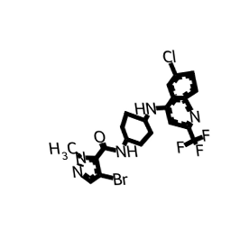 Cn1ncc(Br)c1C(=O)NC1CCC(Nc2cc(C(F)(F)F)nc3ccc(Cl)cc23)CC1